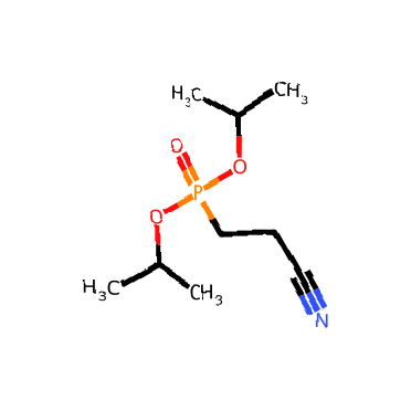 CC(C)OP(=O)(CCC#N)OC(C)C